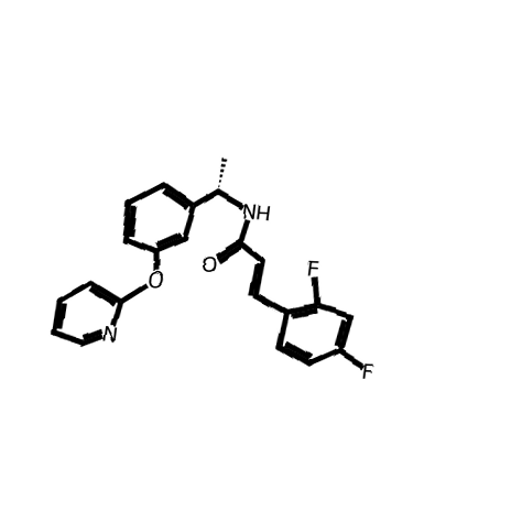 C[C@H](NC(=O)C=Cc1ccc(F)cc1F)c1cccc(Oc2ccccn2)c1